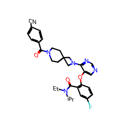 CCN(C(=O)c1cc(F)ccc1Oc1cncnc1N1CC2(CCN(C(=O)c3ccc(C#N)cc3)CC2)C1)C(C)C